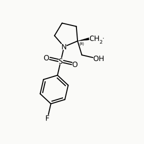 [CH2][C@]1(CO)CCCN1S(=O)(=O)c1ccc(F)cc1